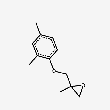 Cc1ccc(OCC2(C)CO2)c(C)c1